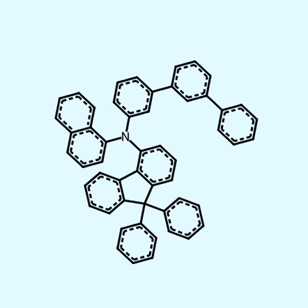 c1ccc(-c2cccc(-c3cccc(N(c4cccc5c4-c4ccccc4C5(c4ccccc4)c4ccccc4)c4cccc5ccccc45)c3)c2)cc1